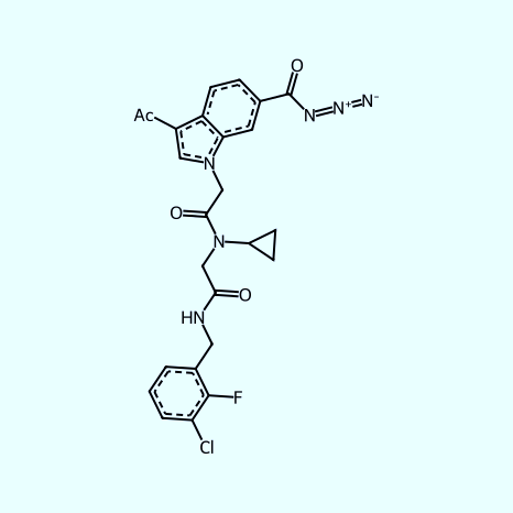 CC(=O)c1cn(CC(=O)N(CC(=O)NCc2cccc(Cl)c2F)C2CC2)c2cc(C(=O)N=[N+]=[N-])ccc12